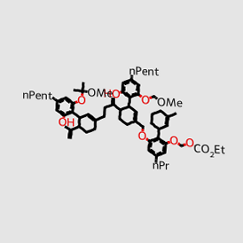 C=C(C)C1CCC(CCC(=C)C2CCC(COc3cc(CCC)cc(OCOC(=O)OCC)c3C3C=C(C)CCC3)=CC2c2c(O)cc(CCCCC)cc2OCOC)=CC1c1c(O)cc(CCCCC)cc1OC(C)(C)OC